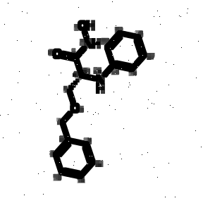 O=C(NO)[C@@H](COCc1ccccc1)Nc1ccccc1